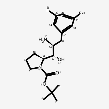 CC(C)(C)OC(=O)N1CCC[C@H]1[C@@H](O)[C@@H](N)Cc1cc(F)cc(F)c1